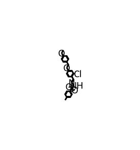 COc1ccc(COc2ccc(C=NNS(=O)(=O)c3ccc(C)cc3)c(Cl)c2)cc1